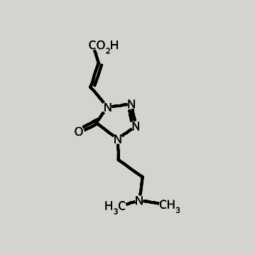 CN(C)CCn1nnn(/C=C/C(=O)O)c1=O